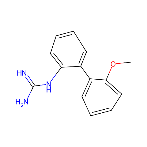 COc1ccccc1-c1ccccc1NC(=N)N